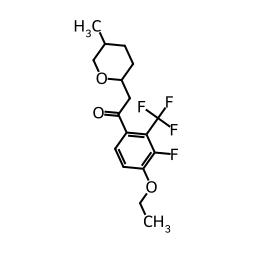 CCOc1ccc(C(=O)CC2CCC(C)CO2)c(C(F)(F)F)c1F